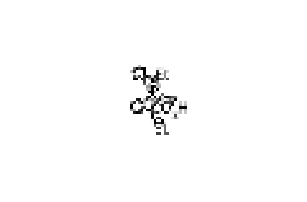 CCOC=C(C(=O)O)c1ccccc1C(=NOC(CC)c1ccccn1)OCC1CC1